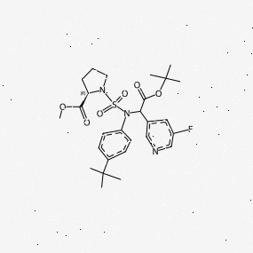 COC(=O)[C@H]1CCCN1S(=O)(=O)N(c1ccc(C(C)(C)C)cc1)C(C(=O)OC(C)(C)C)c1cncc(F)c1